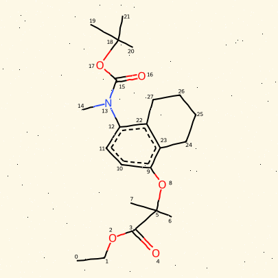 CCOC(=O)C(C)(C)Oc1ccc(N(C)C(=O)OC(C)(C)C)c2c1CCCC2